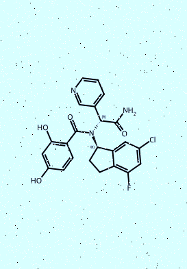 NC(=O)[C@@H](c1cccnc1)N(C(=O)c1ccc(O)cc1O)[C@@H]1CCc2c(F)cc(Cl)cc21